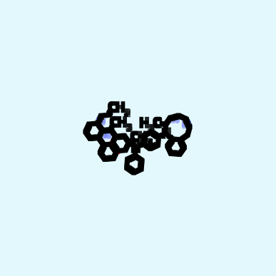 C=C/C=c1/cccc(-c2ccccc2)/c1=C(/C)C1=CC(C)(N(c2ccccc2)c2ccc(N3c4ccccc4C/C=C\C=C/C3C)cc2)CC=C1